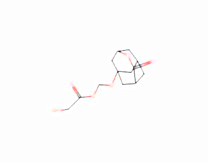 O=C(CO)OCOC12CC3CC(C1)OC(=O)C(C3)C2